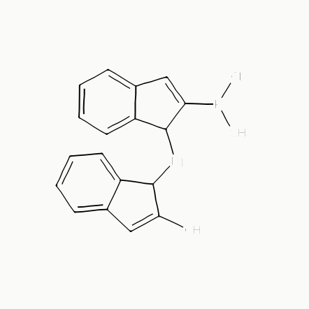 CC1=Cc2ccccc2[CH]1[Hf][CH]1C(P(C)C)=Cc2ccccc21